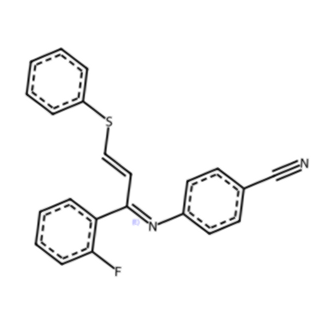 N#Cc1ccc(/N=C(\C=CSc2ccccc2)c2ccccc2F)cc1